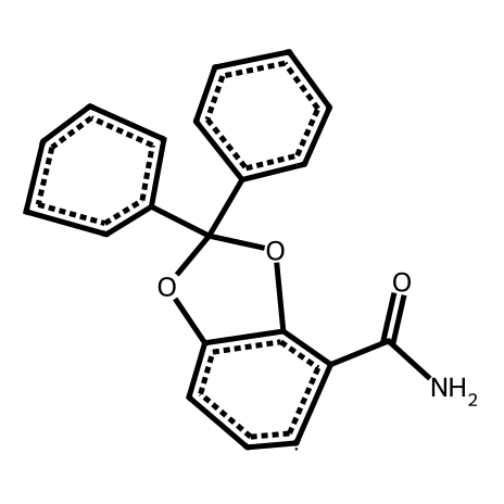 NC(=O)c1[c]ccc2c1OC(c1ccccc1)(c1ccccc1)O2